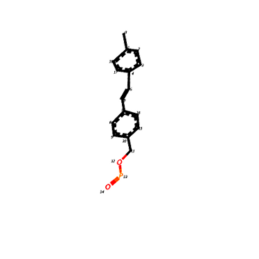 Cc1ccc(/C=C/c2ccc(COP=O)cc2)cc1